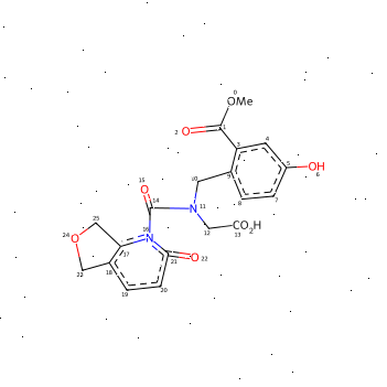 COC(=O)c1cc(O)ccc1CN(CC(=O)O)C(=O)n1c2c(ccc1=O)COC2